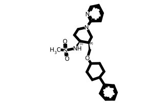 CS(=O)(=O)N[C@H]1CCN(c2ccccn2)C[C@H]1COC1CCC(c2ccccc2)CC1